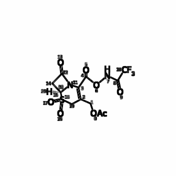 CC(=O)OCC1=C(C(=O)ONC(=O)C(F)(F)F)N2C(=O)C[C@@H]2S(=O)(=O)C1